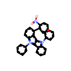 O=[N+]([O-])c1ccccc1-c1cccc2c1c1c(c3ccccc3n1-c1ccccc1)n2-c1ccccc1